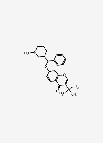 CN1CCCC(C(Oc2ccc3c(=O)c(C(C)(C)C)coc3c2)c2ccccc2)C1